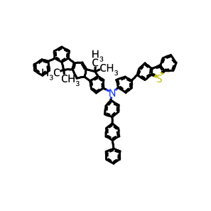 CC1(C)C2=CC3=C(CC2c2ccc(N(c4ccc(-c5ccc(-c6ccccc6)cc5)cc4)c4ccc(-c5ccc6c(c5)sc5ccccc56)cc4)cc21)C(C)(C)c1c3cccc1-c1ccccc1